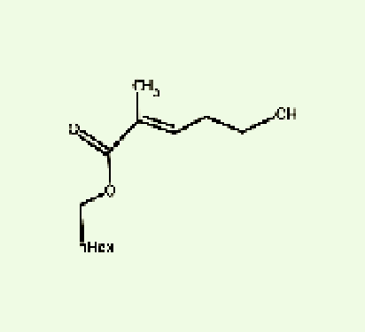 CCCCCCCOC(=O)C(C)=CCCO